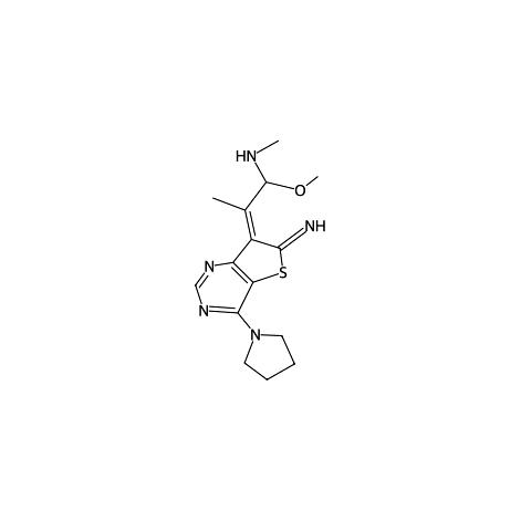 CNC(OC)/C(C)=C1\C(=N)Sc2c1ncnc2N1CCCC1